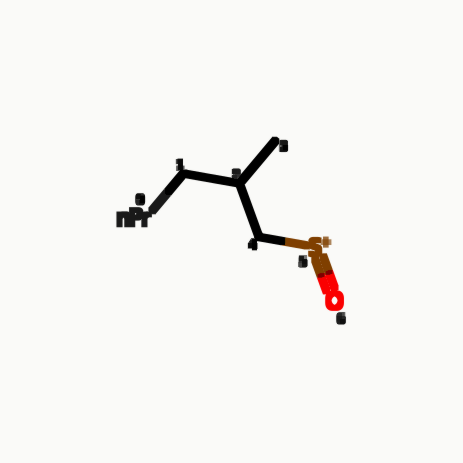 CCCCC(C)C[S+]=O